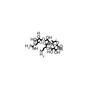 C[C@H](OC1OC([C@@H](C)O)[C@@H](O)N[C@H]1O)C(N)C[C@H](NC(=O)C(O)CCN)[C@@H](O)COC1OC(CNC(=N)N)C(O)C1O